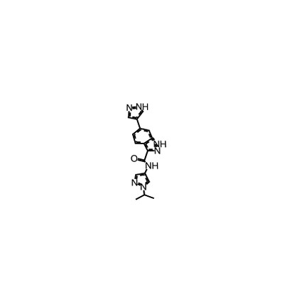 CC(C)n1cc(NC(=O)c2n[nH]c3cc(-c4cn[nH]c4)ccc23)cn1